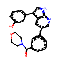 O=C(c1cccc(-c2cnc3[nH]cc(-c4cccc(O)c4)c3c2)c1)N1CCOCC1